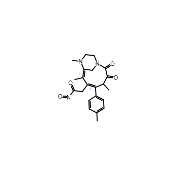 CC1=C2/CN(CCN2C)C(=O)C(=O)C(C)/C(c2ccc(C)cc2)=C\1CC(=O)N=O